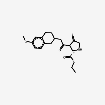 CCOC(=O)[C@H]1NCC(=S)C1C(=O)CC1CCc2cc(OC)ccc2C1